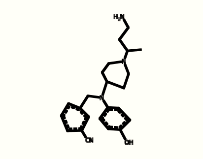 CC(CCN)N1CCC(N(Cc2cccc(C#N)c2)c2ccc(O)cc2)CC1